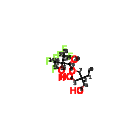 CCC(CO)(CO)COC(=O)C(O)(C(F)(F)F)C(F)(F)F